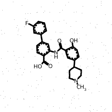 CN1CCC(c2ccc(O)c(C(=O)Nc3cc(-c4cccc(F)c4)ccc3C(=O)O)c2)CC1